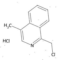 Cc1cnc(CCl)c2ccccc12.Cl